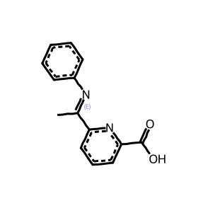 C/C(=N\c1ccccc1)c1cccc(C(=O)O)n1